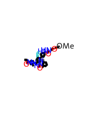 C=CC(=O)N1CCN(c2nc(=O)n(-c3c(C)cccc3C(C)C)c3nc(-c4ccc(NC(=O)NCCOCCOC)cc4F)c(F)cc23)C(C)C1